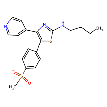 CCCCNc1nc(-c2ccncc2)c(-c2ccc(S(C)(=O)=O)cc2)s1